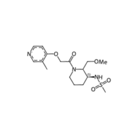 COCC1[C@@H](NS(C)(=O)=O)CCCN1C(=O)COc1ccncc1C